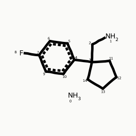 N.NCC1(c2ccc(F)cc2)CCCC1